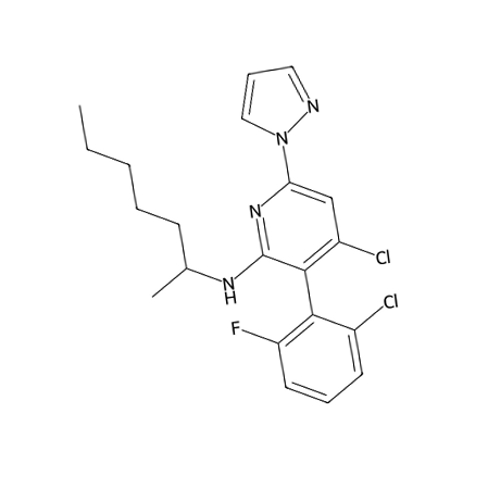 CCCCCC(C)Nc1nc(-n2cccn2)cc(Cl)c1-c1c(F)cccc1Cl